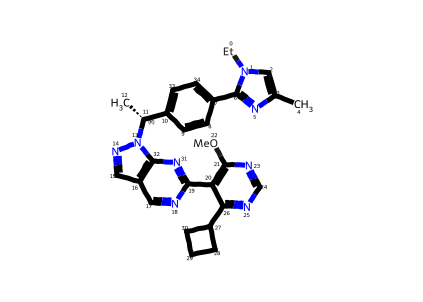 CCn1cc(C)nc1-c1ccc([C@@H](C)n2ncc3cnc(-c4c(OC)ncnc4C4CCC4)nc32)cc1